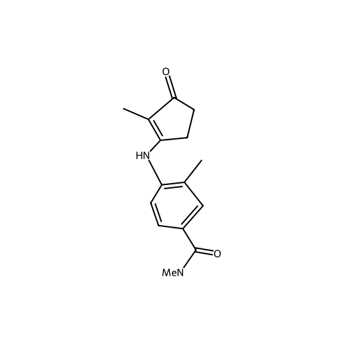 CNC(=O)c1ccc(NC2=C(C)C(=O)CC2)c(C)c1